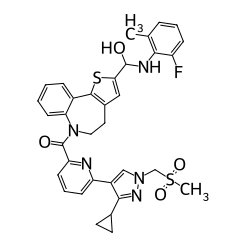 Cc1cccc(F)c1NC(O)c1cc2c(s1)-c1ccccc1N(C(=O)c1cccc(-c3cn(CS(C)(=O)=O)nc3C3CC3)n1)CC2